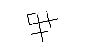 CC(C)(C)C1(C(C)(C)C)CCO1